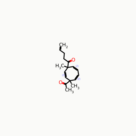 C=CCCC(=O)C1(C)/C=C\C=C/C(C)(C(C)=O)/C=C\1